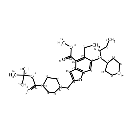 CCCN(c1cc2oc(CN3CCN(C(=O)OC(C)(C)C)CC3)cc2c(C(=O)OC)c1CC)C1CCOCC1